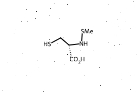 CSN[C@@H](CS)C(=O)O